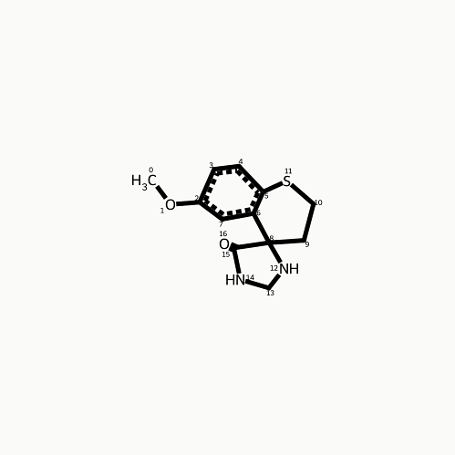 COc1ccc2c(c1)C1(CCS2)NCNC1=O